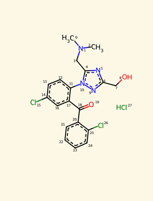 CN(C)Cc1nc(CO)nn1-c1ccc(Cl)cc1C(=O)c1ccccc1Cl.Cl